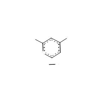 CCc1cc(Br)ccn1.O=CO